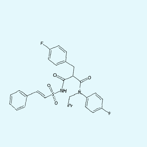 CC(C)CN(C(=O)C(Cc1ccc(F)cc1)C(=O)NS(=O)(=O)C=Cc1ccccc1)c1ccc(F)cc1